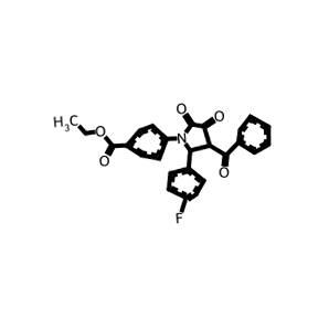 CCOC(=O)c1ccc(N2C(=O)C(=O)C(C(=O)c3ccccc3)C2c2ccc(F)cc2)cc1